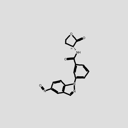 O=Nc1ccc2c(cnn2-c2cccc(C(=O)N[C@@H]3CCOC3=O)c2)c1